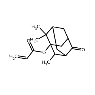 C=CC(=O)OC12CC3CC(CC(C3=O)C1C)C2(C)C